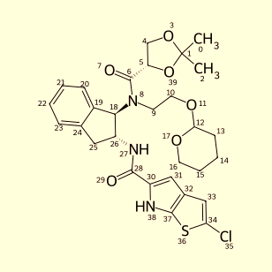 CC1(C)OC[C@@H](C(=O)N(CCOC2CCCCO2)[C@@H]2c3ccccc3C[C@H]2NC(=O)c2cc3cc(Cl)sc3[nH]2)O1